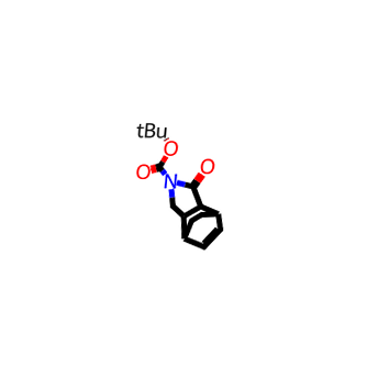 CC(C)(C)OC(=O)N1CC2C3C=CC(CC3)C2C1=O